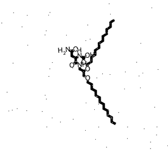 CCCCCCCCCCCCCCOCC(CNC(=O)C(CC(N)=O)NC(=O)O)OCCCCCCCCCCCCCC